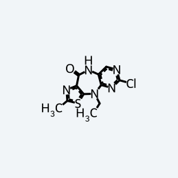 CCN1c2nc(Cl)ncc2NC(=O)c2nc(C)sc21